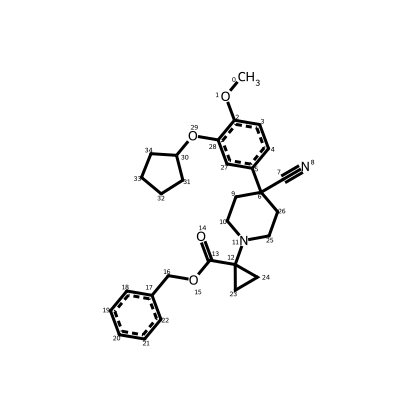 COc1ccc(C2(C#N)CCN(C3(C(=O)OCc4ccccc4)CC3)CC2)cc1OC1CCCC1